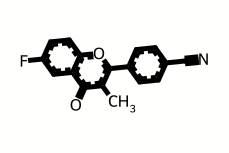 Cc1c(-c2ccc(C#N)cc2)oc2ccc(F)cc2c1=O